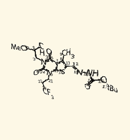 COC(C)Cn1c(=O)c2c(C)c(/C=N/NC(=O)OC(C)(C)C)sc2n(CCC(F)(F)F)c1=O